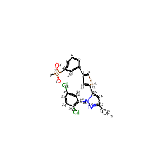 CS(=O)(=O)c1cccc(-c2csc(-c3cc(C(F)(F)F)nn3-c3cc(Cl)ccc3Cl)c2)c1